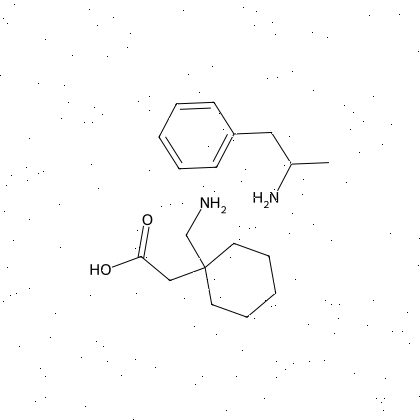 CC(N)Cc1ccccc1.NCC1(CC(=O)O)CCCCC1